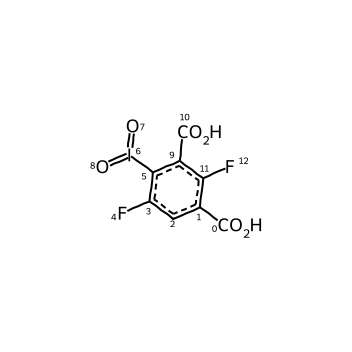 O=C(O)c1cc(F)c(I(=O)=O)c(C(=O)O)c1F